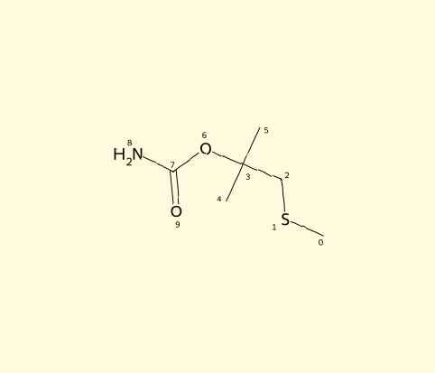 CSCC(C)(C)OC(N)=O